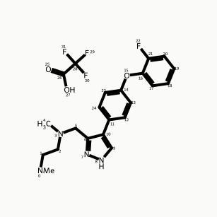 CNCCN(C)Cc1n[nH]cc1-c1ccc(Oc2ccccc2F)cc1.O=C(O)C(F)(F)F